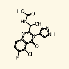 CC(NC(=O)O)c1nc2ccc(F)c(Cl)c2c(=O)n1-c1cn[nH]c1